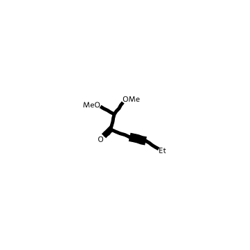 CCC#CC(=O)C(OC)OC